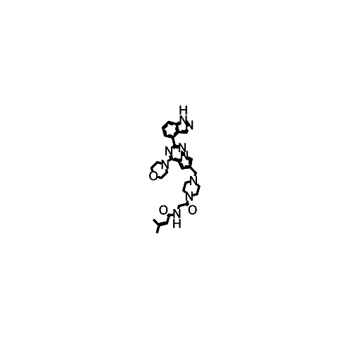 CC(C)=CC(=O)NCC(=O)N1CCN(Cc2cc3c(N4CCOCC4)nc(-c4cccc5[nH]ncc45)nn3c2)CC1